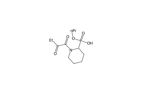 CCCOP(=O)(O)C1CCCCN1C(=O)C(=O)CC